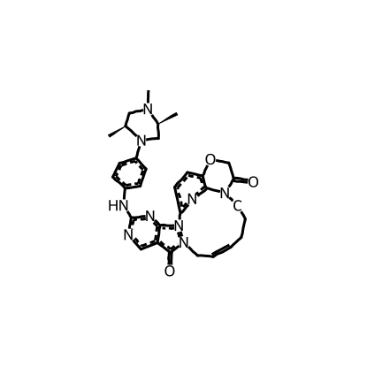 C[C@H]1CN(c2ccc(Nc3ncc4c(=O)n5n(c4n3)-c3ccc4c(n3)N(CCC/C=C\C5)C(=O)CO4)cc2)[C@@H](C)CN1C